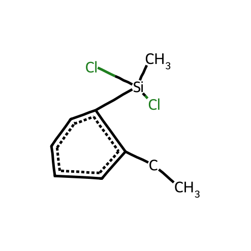 CCc1ccccc1[Si](C)(Cl)Cl